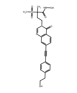 CC(CCn1cnc2cc(C#Cc3ccc(CCO)cc3)ccc2c1=O)(C(=O)NO)S(C)(=O)=O